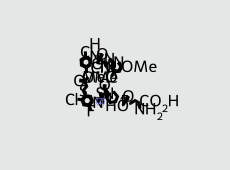 COC(=O)CSc1cc(/N=c2\sc(=O)n3n2CCCC3)c(F)cc1Cl.COc1cc(OC)n2nc(S(=O)(=O)Nc3c(Cl)ccc(C)c3Cl)nc2n1.CP(=O)(O)CCC(N)C(=O)O